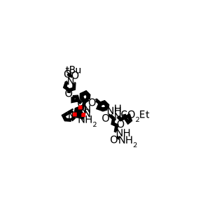 CCOC(=O)C1(C(=O)NC(CCCNC(N)=O)C(=O)Nc2ccc(COc3ccccc3-c3cc(N4CC5CCC(C4)N5c4ccnc(OC5CC(OC6CCN(C(=O)OC(C)(C)C)CC6)C5)c4)c(N)nn3)cc2)CCC1